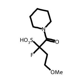 COCCC(F)(C(=O)N1CCCCC1)S(=O)(=O)O